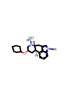 CCCN1C[C@H](OC2CCCCC2)C[C@@H]2c3cccc4c3c(cn4C(C)C)C[C@H]21.Cl